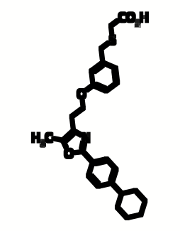 Cc1oc(-c2ccc(C3CCCCC3)cc2)nc1CCOc1cccc(CSCC(=O)O)c1